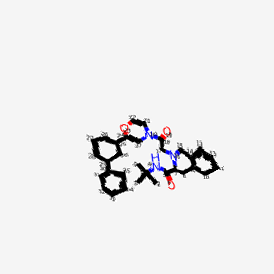 CC(C)(C)NC(=O)C1Cc2ccccc2CN1CC(=O)N1C=COC(C2=CC=CC(c3ccccc3)C2)=C1